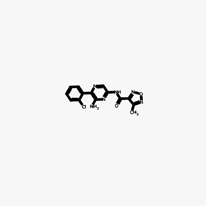 Cc1nonc1C(=O)Nc1cnc(-c2ccccc2Cl)c(N)n1